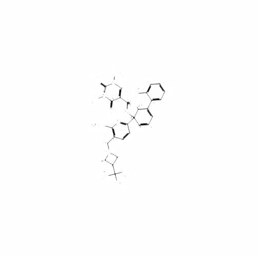 COc1nc(C2(NC(=O)c3cn(C)c(=O)n(C)c3=O)C=CC=C(c3ccccc3Cl)C2C)ccc1CN1CC(C(C)(C)O)C1